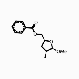 CO[C@@H]1O[C@H](COC(=O)c2ccccc2)C[C@@H]1C